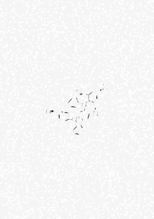 N#Cc1ccc(-n2c3ccccc3c3ccc4c(c5ccccc5n4-c4c(C#N)cc(C#N)cc4C#N)c32)cc1